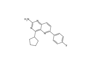 Nc1nc(C2CCCC2)c2nc(-c3ccc(F)cc3)ccc2n1